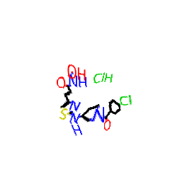 Cl.O=C(C=Cc1csc(NC2CCN(C(=O)c3ccc(Cl)cc3)C2)n1)NO